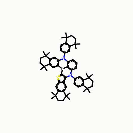 CC1(C)CCC(C)(C)c2cc(N3c4cc5c(cc4B4c6sc7cc8c(cc7c6N(c6ccc7c(c6)C(C)(C)CCC7(C)C)c6cccc3c64)C(C)(C)CCC8(C)C)C(C)(C)CCC5(C)C)ccc21